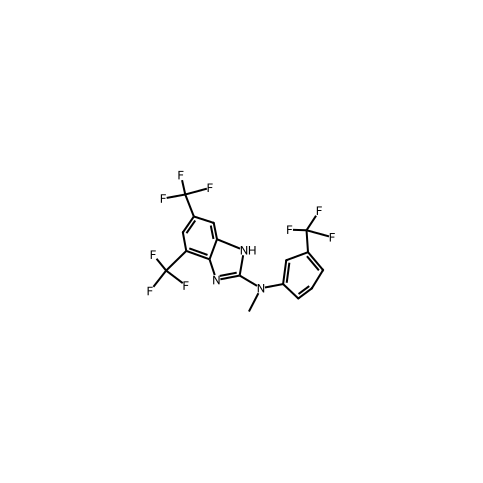 CN(c1cccc(C(F)(F)F)c1)c1nc2c(C(F)(F)F)cc(C(F)(F)F)cc2[nH]1